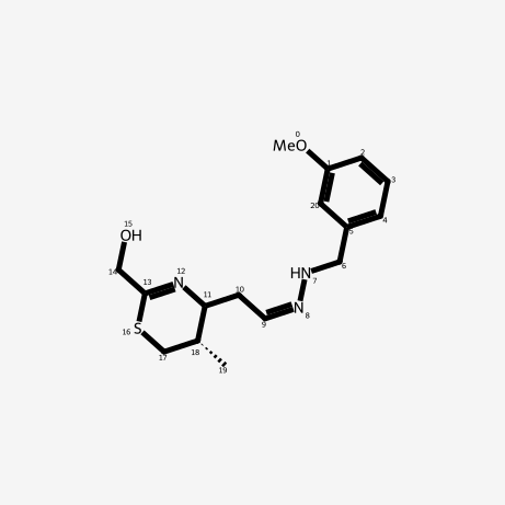 COc1cccc(CN/N=C\CC2N=C(CO)SC[C@H]2C)c1